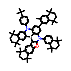 Cc1cc2c(cc1-c1cc3c4c(c1)N(c1ccc5c(c1)C(C)(C)CCC5(C)C)c1oc5cc6c(cc5c1B4c1cc4c(cc1N3c1ccc(C(C)(C)C)cc1)C(C)(C)CCC4(C)C)C(C)(C)CCC6(C)C)C(C)(C)CCC2(C)C